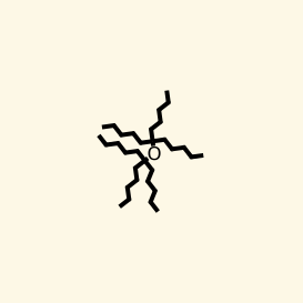 CCCCCC(CCCCC)(CCCCC)OC(CCCCC)(CCCCC)CCCCC